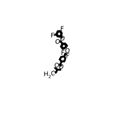 C=CC1COC(C2CCC(C(F)(F)Oc3ccc(C(=O)Oc4cc(F)cc(F)c4)cc3)CC2)OC1